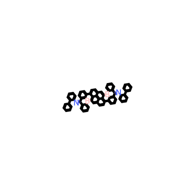 c1ccc(-c2ccccc2/N=C2/c3ccccc3B3c4c2cccc4-c2ccc4cc5c6c(ccc7cc3c2c4c76)-c2cccc3c2B5c2ccccc2/C3=N/c2ccccc2-c2ccccc2)cc1